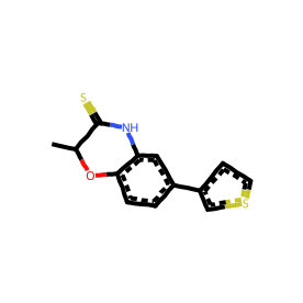 CC1Oc2ccc(-c3ccsc3)cc2NC1=S